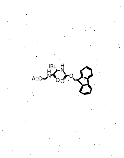 CC[C@H](C)[C@H](NC(=O)OCC1c2ccccc2-c2ccccc21)C(=O)NCOC(C)=O